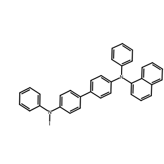 IN(c1ccccc1)c1ccc(-c2ccc(N(c3ccccc3)c3cccc4ccccc34)cc2)cc1